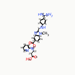 Cn1c(CNc2ccc(C(=N)N)cc2)nc2cc(C(=O)ON(CCC(=O)O)c3ccccn3)ccc21